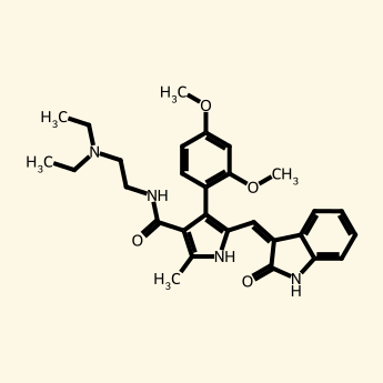 CCN(CC)CCNC(=O)c1c(C)[nH]c(/C=C2\C(=O)Nc3ccccc32)c1-c1ccc(OC)cc1OC